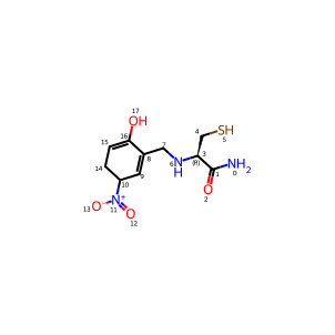 NC(=O)[C@H](CS)NCC1=CC([N+](=O)[O-])CC=C1O